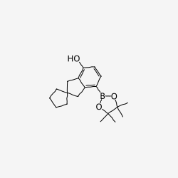 CC1(C)OB(c2ccc(O)c3c2CC2(CCCC2)C3)OC1(C)C